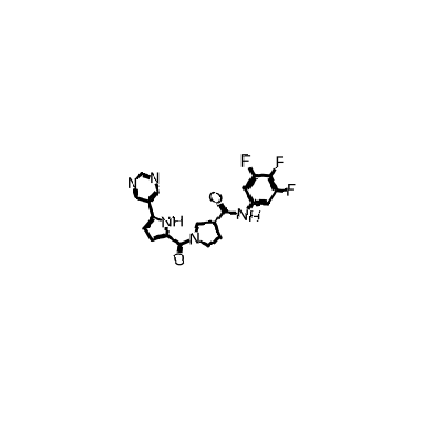 O=C(Nc1cc(F)c(F)c(F)c1)[C@H]1CCN(C(=O)c2ccc(-c3cncnc3)[nH]2)C1